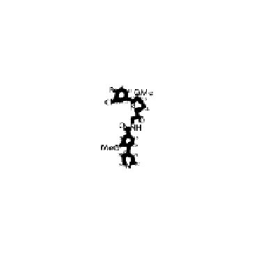 COc1cc(C(=O)NCC(=O)c2ccc(OC)c(-c3ccc(F)c(Cl)c3)n2)ccc1-c1ccncc1